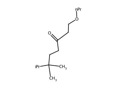 CCCOCCC(=O)CCC(C)(C)C(C)C